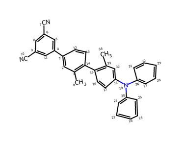 Cc1cc(-c2cc(C#N)cc(C#N)c2)ccc1-c1ccc(N(c2ccccc2)c2ccccc2)cc1C